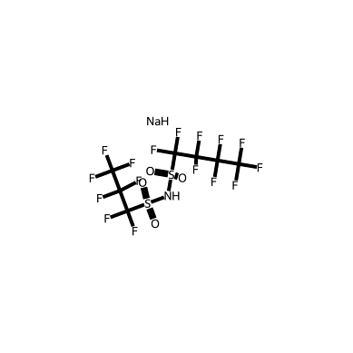 O=S(=O)(NS(=O)(=O)C(F)(F)C(F)(F)C(F)(F)C(F)(F)F)C(F)(F)C(F)(F)C(F)(F)F.[NaH]